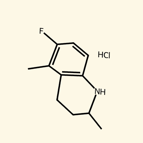 Cc1c(F)ccc2c1CCC(C)N2.Cl